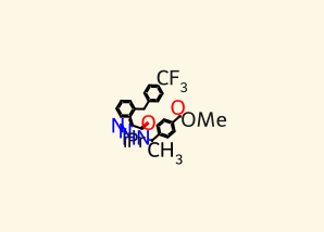 COC(=O)c1ccc([C@H](C)NC(=O)c2c3c(Cc4ccc(C(F)(F)F)cc4)cccc3nn2C(C)C)cc1